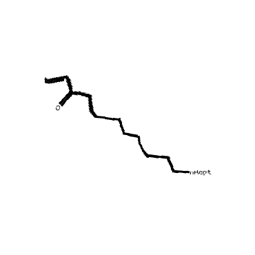 C=CC(=O)CCCCCCCCCCCCCCC